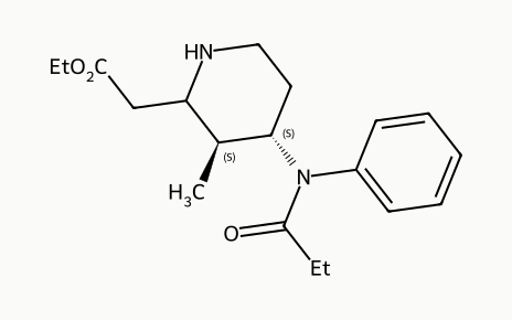 CCOC(=O)CC1NCC[C@H](N(C(=O)CC)c2ccccc2)[C@H]1C